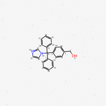 OCc1ccc(C(c2ccccc2)(c2ccccc2)n2ccnc2)cc1